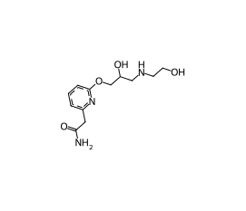 NC(=O)Cc1cccc(OCC(O)CNCCO)n1